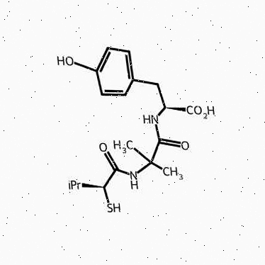 CC(C)[C@H](S)C(=O)NC(C)(C)C(=O)N[C@@H](Cc1ccc(O)cc1)C(=O)O